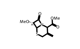 C=C1CSC2[C@H](OC)C(=O)N2C1C(=O)OC